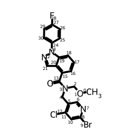 COCN(Cc1cnc(Br)cc1Cl)C(=O)c1cccc2c1cnn2-c1ccc(F)cc1